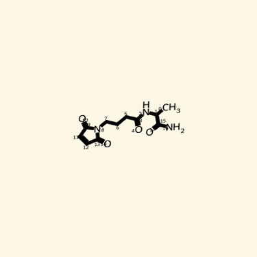 CC(NC(=O)CCCN1C(=O)C=CC1=O)C(N)=O